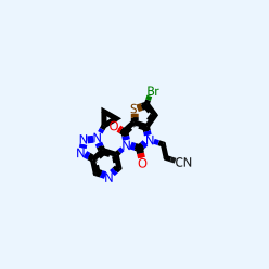 N#CCCn1c(=O)n(-c2cncc3nnn(C4CC4)c23)c(=O)c2sc(Br)cc21